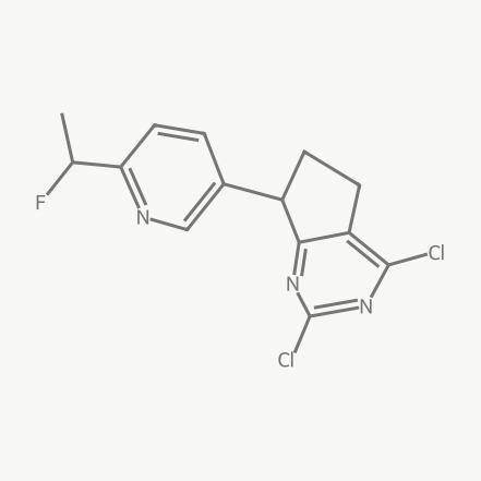 CC(F)c1ccc(C2CCc3c(Cl)nc(Cl)nc32)cn1